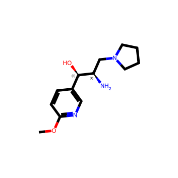 COc1ccc([C@@H](O)[C@H](N)CN2CCCC2)cn1